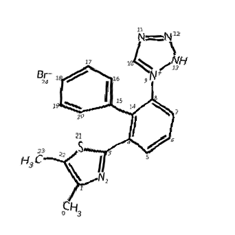 Cc1nc(-c2cccc(-[n+]3cnn[nH]3)c2-c2ccccc2)sc1C.[Br-]